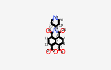 O=C1OC(=O)c2ccc3c4c(ccc1c24)C(=O)N(c1ccncc1)C3=O